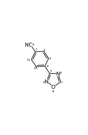 N#Cc1ccc(-c2ncon2)cc1